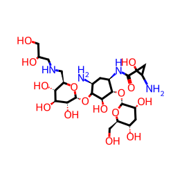 NC1CC1(O)C(=O)N[C@@H]1C[C@H](N)C(O[C@H]2O[C@H](CNCC(O)CO)[C@@H](O)[C@H](O)[C@H]2O)[C@H](O)[C@H]1O[C@H]1O[C@H](CO)[C@@H](O)C[C@H]1O